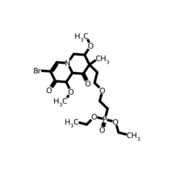 CCOP(=O)(CCOCCC1(C)C(=O)C2C(OC)C(=O)C(Br)=CN2CC1OC)OCC